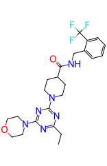 CCc1nc(N2CCOCC2)nc(N2CCC(C(=O)NCc3ccccc3C(F)(F)F)CC2)n1